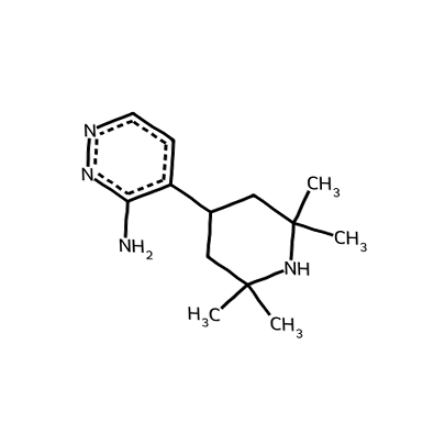 CC1(C)CC(c2ccnnc2N)CC(C)(C)N1